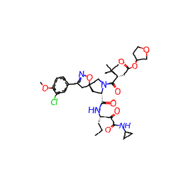 CCC[C@H](NC(=O)[C@@H]1C[C@]2(CC(c3ccc(OC)c(Cl)c3)=NO2)CN1C(=O)[C@@H](CC(=O)O[C@H]1CCOC1)C(C)(C)C)C(=O)C(=O)NC1CC1